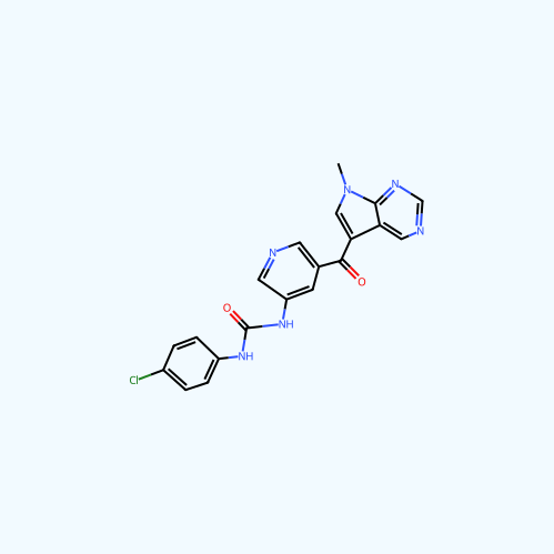 Cn1cc(C(=O)c2cncc(NC(=O)Nc3ccc(Cl)cc3)c2)c2cncnc21